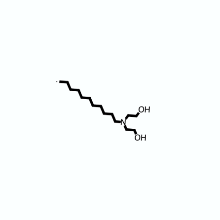 [CH2]CCCCCCCCCCN(CCO)CCO